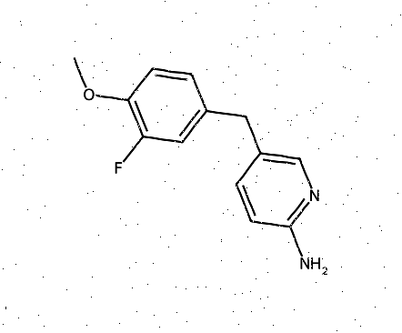 COc1ccc(Cc2ccc(N)nc2)cc1F